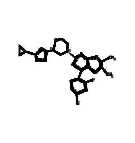 Cc1cc2c(-c3ccc(Cl)cc3F)cc([C@H]3CCO[C@@H](c4cnn(C5CC5)c4)C3)nc2nc1C